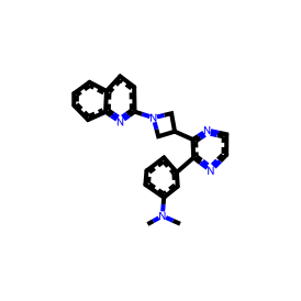 CN(C)c1cccc(-c2nccnc2C2CN(c3ccc4ccccc4n3)C2)c1